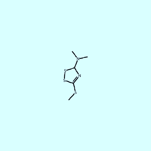 CSC1=NC(N(C)C)SS1